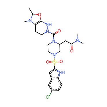 CC1OC2=C(CCN(C(=O)N3CCN(S(=O)(=O)c4cc5cc(Cl)ccc5[nH]4)CC3CC(=O)N(C)C)N2)N1C